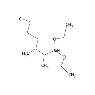 CCO[SiH](OCC)C(C)C(C)CCCCl